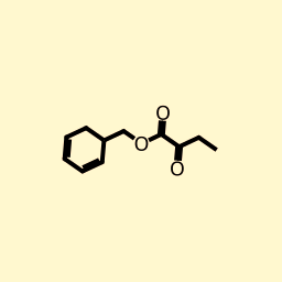 CCC(=O)C(=O)OCC1C=CC=CC1